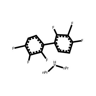 CCCPCCC.Fc1ccc(-c2ccc(F)c(F)c2F)c(F)c1F